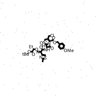 CC[C@H](O/N=C(\C(=O)N[C@@H]1C(=O)N2C(C(=O)OCc3ccc(OC)cc3)=C(CCl)C[S+]([O-])[C@H]12)c1csc(C)n1)C(=O)OC(C)(C)C